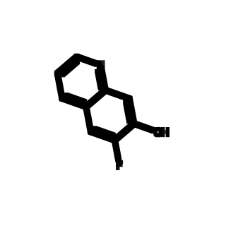 Oc1cc2ncccc2cc1F